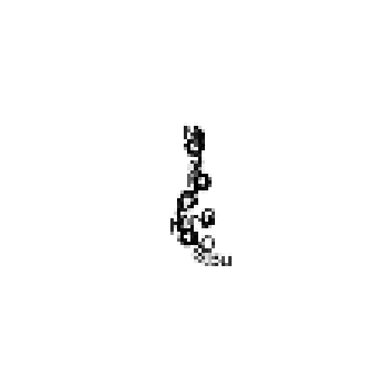 CC(C)(C)OC(=O)c1ccc2nc(CN3CCC(c4cccc(OCc5ccc6nccn6c5)n4)CC3)n(C[C@@H]3CCO3)c2c1